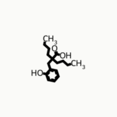 CCCCC(CCCC)(Cc1ccccc1O)C(=O)O